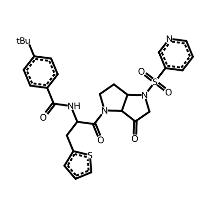 CC(C)(C)c1ccc(C(=O)NC(Cc2cccs2)C(=O)N2CCC3C2C(=O)CN3S(=O)(=O)c2cccnc2)cc1